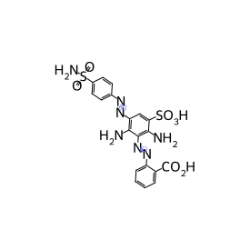 Nc1c(/N=N/c2ccc(S(N)(=O)=O)cc2)cc(S(=O)(=O)O)c(N)c1/N=N/c1ccccc1C(=O)O